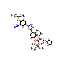 CC(C)Oc1ccc(-c2nnc(-c3cccc4c3CCC[C@@H]4N(CC(=O)N3CCCC3)C(=O)OC(C)(C)C)s2)cc1C#N